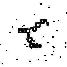 CCOCC(COc1ccc(C(F)(F)F)cc1)CSc1ccc(OC)c(C)c1